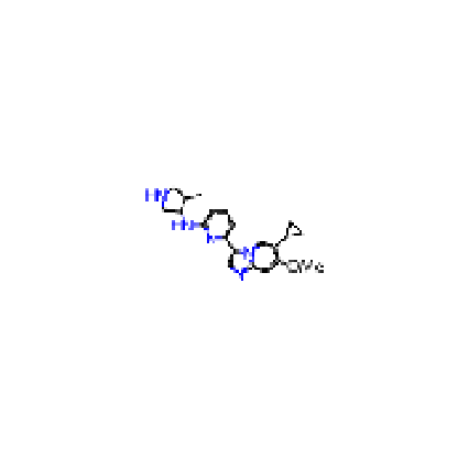 COc1cc2ncc(-c3cccc(NC4CNCC4C)n3)n2cc1C1CC1